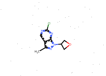 Cc1nn(C2COC2)c2nc(Cl)ncc12